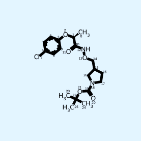 C[C@H](Oc1ccc(Cl)cc1)C(=O)NOCC1CCN(C(=O)OC(C)(C)C)C1